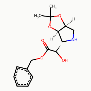 CC1(C)O[C@H]2[C@H](CN[C@@H]2C(O)C(=O)OCc2ccccc2)O1